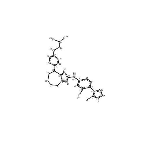 Cc1ncnn1-c1ccc(Nc2nc3n(n2)CCCCC3c2ccc(OCC(F)F)cc2)cc1F